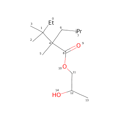 CCC(C)(C)C(C)(CC(C)C)C(=O)OCC(C)O